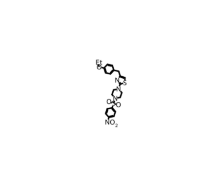 CCOc1ccc(Cc2csc(N3CCN(S(=O)(=O)c4ccc([N+](=O)[O-])cc4)CC3)n2)cc1